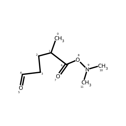 CC(CCC=O)C(=O)ON(C)C